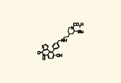 CC(C)(C)C1CC(CCNCc2ccc(-c3c(O)ccc4[nH]c(=O)c5sccc5c34)cc2)CCN1C(=O)O